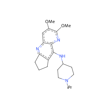 COc1cc2nc3c(c(NC4CCN(C(C)C)CC4)c2nc1OC)CCC3